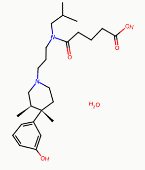 CC(C)CN(CCCN1CC[C@](C)(c2cccc(O)c2)[C@@H](C)C1)C(=O)CCCC(=O)O.O